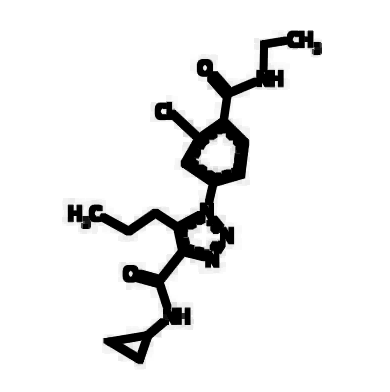 CCCc1c(C(=O)NC2CC2)nnn1-c1ccc(C(=O)NCC)c(Cl)c1